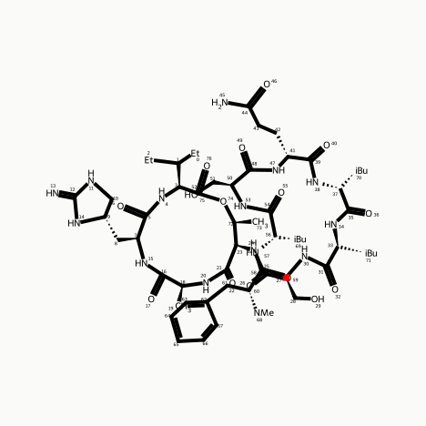 CCC(CC)[C@@H]1NC(=O)[C@H](C[C@H]2CNC(=N)N2)NC(=O)[C@H](C)NC(=O)[C@H](NC(=O)[C@H](CO)NC(=O)[C@@H](NC(=O)[C@H](NC(=O)[C@@H](CCC(N)=O)NC(=O)[C@H](CO)NC(=O)[C@@H](NC(=O)[C@@H](Cc2ccccc2)NC)[C@@H](C)CC)[C@@H](C)CC)[C@@H](C)CC)[C@H](C)OC1=O